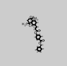 CC1(C)CCC(C)(C)c2cc(C=CC(=O)Oc3ccc(C(=O)OCc4ccccc4)cc3)ccc21